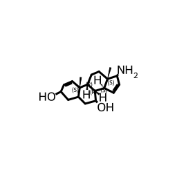 C[C@]12C=CC(O)CC1CC(O)[C@@H]1[C@H]2CC[C@]2(C)C(N)C=C[C@@H]12